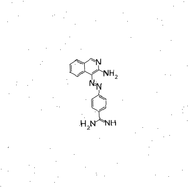 N=C(N)c1ccc(/N=N/c2c(N)ncc3ccccc23)cc1